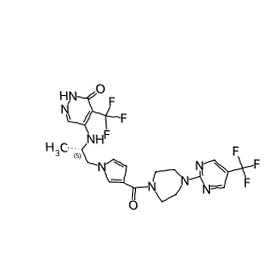 C[C@@H](Cn1ccc(C(=O)N2CCN(c3ncc(C(F)(F)F)cn3)CC2)c1)Nc1cn[nH]c(=O)c1C(F)(F)F